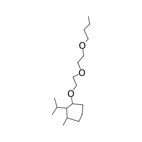 CCCCOCCOCCOC1CCCC(C)C1C(C)C